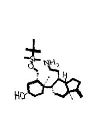 C=C1CC[C@H]2[C@H](CCN)[C@@H]([C@@]3(C)CC[C@H](O)C[C@@H]3CO[Si](C)(C)C(C)(C)C)CC[C@]12C